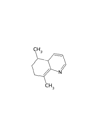 CC1=C2N=CC=CC2C(C)CC1